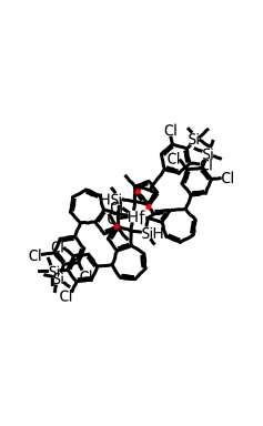 CC1=CC2=C(C=CC=CC2c2cc(Cl)c([Si](C)(C)C)c(Cl)c2)[C]12[SiH](C)[C]1(C(C)=CC3=C1C=CC=CC3c1cc(Cl)c([Si](C)(C)C)c(Cl)c1)[Hf]21([Cl])([Cl])[C]2(C(C)=CC3=C2C=CC=CC3c2cc(Cl)c([Si](C)(C)C)c(Cl)c2)[SiH](C)[C]12C(C)=CC1=C2C=CC=CC1c1cc(Cl)c([Si](C)(C)C)c(Cl)c1